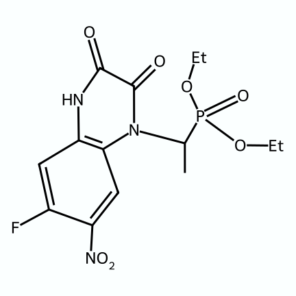 CCOP(=O)(OCC)C(C)n1c(=O)c(=O)[nH]c2cc(F)c([N+](=O)[O-])cc21